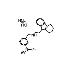 CC(C)N(c1cccc(CNCCc2c3n(c4ccccc24)CCCC3)c1)C(C)C.Cl.Cl.Cl